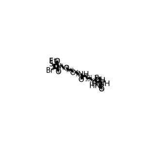 CCSC1=C(Br)C(=O)N(CCOCCOCCNC(=O)CCCC[C@@H]2SC[C@@H]3NC(=O)N[C@@H]32)C1=O